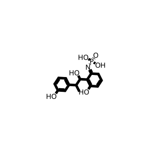 CC(c1cccc(O)c1)C(O)C1=C(O)C=CCC1=NP(=O)(O)O